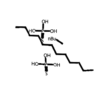 CCCCC.CCCCCCCCCCCC.OP(O)(O)=S.OP(O)(O)=S